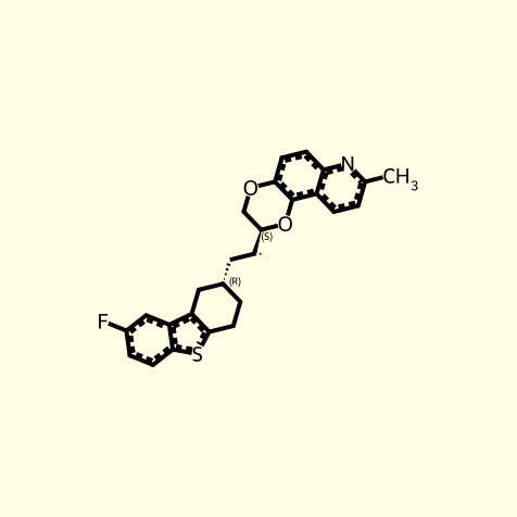 Cc1ccc2c3c(ccc2n1)OC[C@H]([CH]C[C@@H]1CCc2sc4ccc(F)cc4c2C1)O3